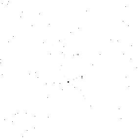 CC(C)(C)C1CC1(C)CN(C(C)(C)C)S(C)(=O)=O